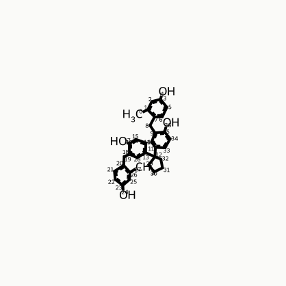 Cc1cc(O)ccc1Cc1cc(C2(c3ccc(O)c(Cc4ccc(O)cc4C)c3)CCCC2)ccc1O